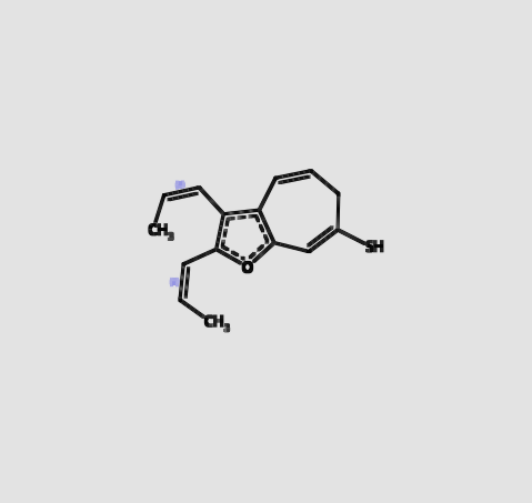 C/C=C\c1oc2c(c1/C=C\C)C=CCC(S)=C2